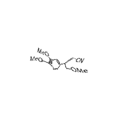 COCC(=CC#N)c1ccc(OC)c(OC)c1